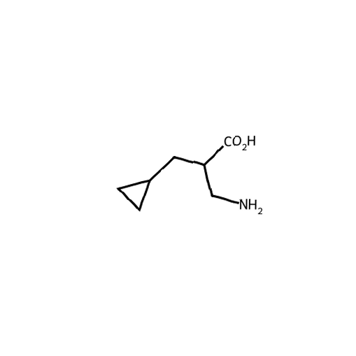 NCC(CC1CC1)C(=O)O